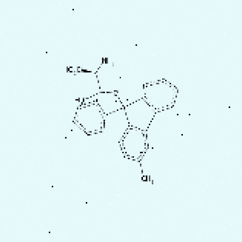 Cc1ccc2c(c1)-c1ccccc1C2(OC(C)[C@H](N)C(=O)O)c1ccccc1